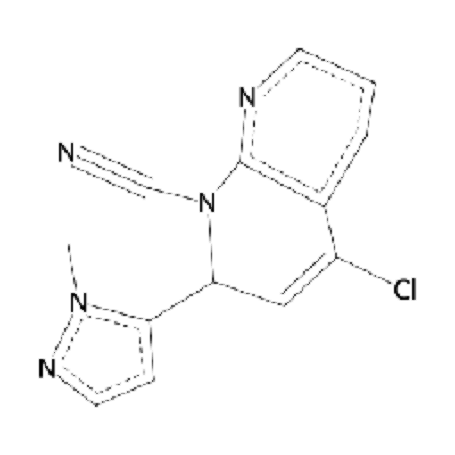 Cn1nccc1C1C=C(Cl)c2cccnc2N1C#N